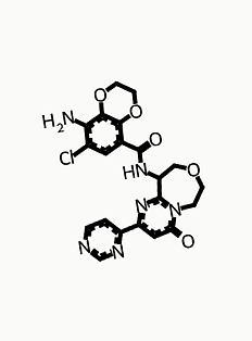 Nc1c(Cl)cc(C(=O)NC2COCCn3c2nc(-c2ccncn2)cc3=O)c2c1OCCO2